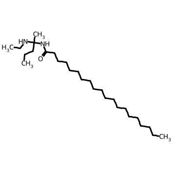 CCCCCCCCCCCCCCCCCCCC(=O)NC(C)(CCC)NCC